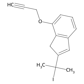 C#CCOc1cccc2c1CC(C(C)(C)I)=C2